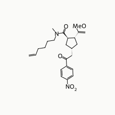 C=CCCCCN(C)C(=O)[C@@H]1C[C@@H](CC(=O)c2ccc([N+](=O)[O-])cc2)C[C@H]1C(=C)OC